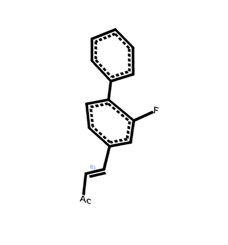 CC(=O)/C=C/c1ccc(-c2ccccc2)c(F)c1